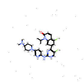 CC(C)n1c(=O)ccc2c(F)cc(-c3nc(Nc4ccc(N5CCC(N(C)C)CC5)cn4)ncc3F)cc21